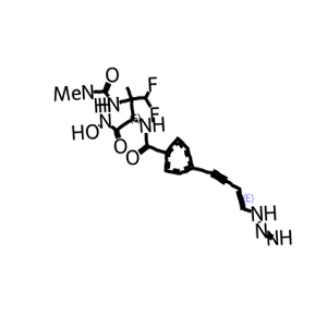 CNC(=O)NC(C)(C(F)F)[C@H](NC(=O)c1ccc(C#C/C=C/NN=N)cc1)C(=O)NO